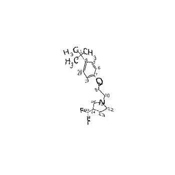 CC(C)(C)c1ccc(OCCN2CCC(C(F)F)C2)cc1